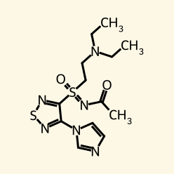 CCN(CC)CCS(=O)(=NC(C)=O)c1nsnc1-n1ccnc1